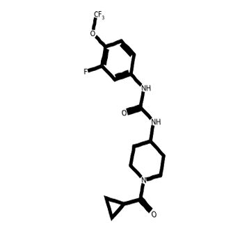 O=C(Nc1ccc(OC(F)(F)F)c(F)c1)NC1CCN(C(=O)C2CC2)CC1